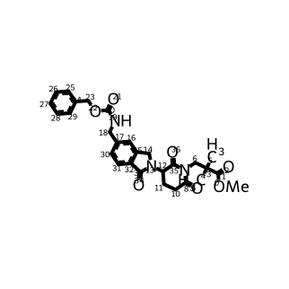 COC(=O)C(C)(C)CN1C(=O)CCC(N2Cc3cc(CNC(=O)OCc4ccccc4)ccc3C2=O)C1=O